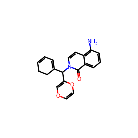 Nc1cccc2c(=O)n(C(C3=CC=CCC3)C3=COC=CO3)ccc12